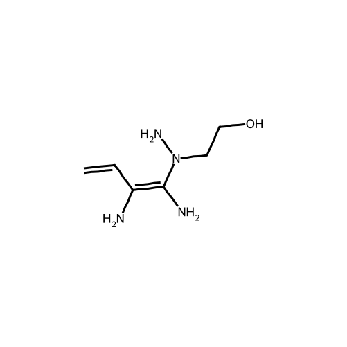 C=C/C(N)=C(/N)N(N)CCO